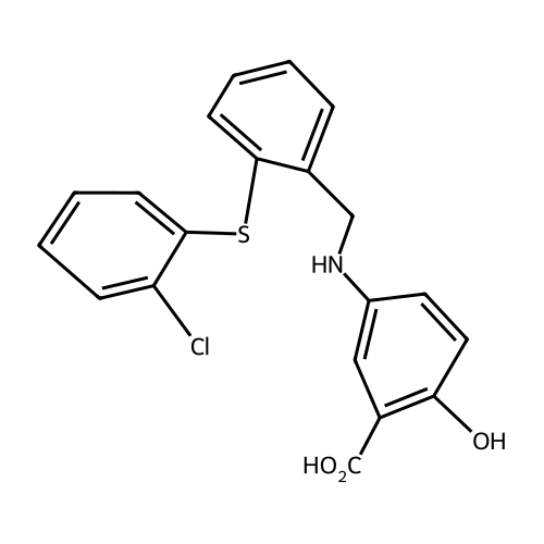 O=C(O)c1cc(NCc2ccccc2Sc2ccccc2Cl)ccc1O